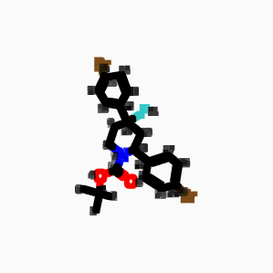 CC(C)(C)OC(=O)N1CCC(F)(c2ccc(Br)cc2)CC1c1ccc(Br)cc1